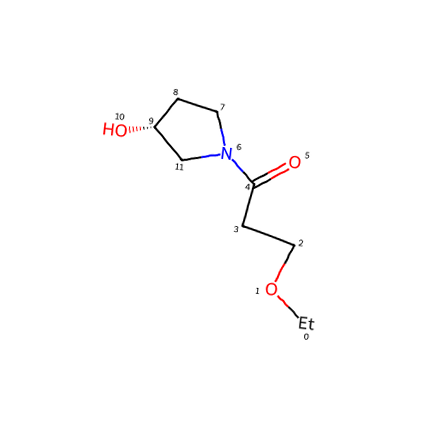 CCOCCC(=O)N1CC[C@@H](O)C1